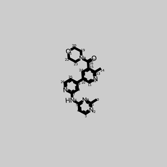 Cc1nccc(Nc2cc(-c3cnc(C)c(C(=O)N4CCOCC4)c3)ccn2)n1